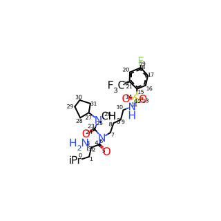 CC(C)C[C@H](N)C(=O)N(CCCCNS(=O)(=O)c1ccc(F)cc1C(F)(F)F)C(=O)N(C)C1CCCC1